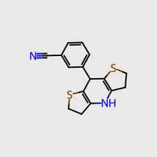 N#Cc1cccc(C2C3=C(CCS3)NC3=C2SCC3)c1